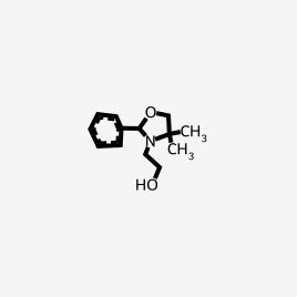 CC1(C)COC(c2ccccc2)N1CCO